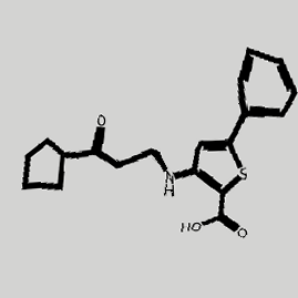 O=C(O)c1sc(-c2ccccc2)cc1NCCC(=O)C1CCCC1